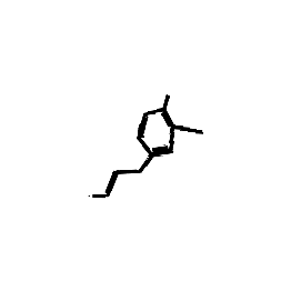 [CH2]C=CCc1ccc(C)c(C)c1